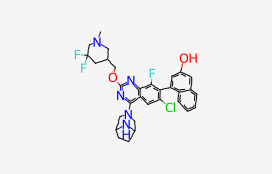 CN1CC(COc2nc(N3CC4CCC(C3)N4)c3cc(Cl)c(-c4cc(O)cc5ccccc45)c(F)c3n2)CC(F)(F)C1